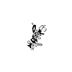 C=C(C)C(=O)Nc1cc(C#CCN(C(=O)[C@@H]2CNC(=O)N2c2cc(C(F)(F)F)cc(C)n2)c2ccc(F)cc2)nnc1OC